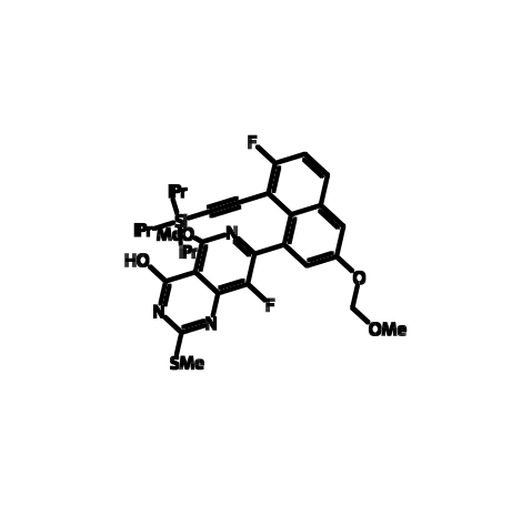 COCOc1cc(-c2nc(OC)c3c(O)nc(SC)nc3c2F)c2c(C#C[Si](C(C)C)(C(C)C)C(C)C)c(F)ccc2c1